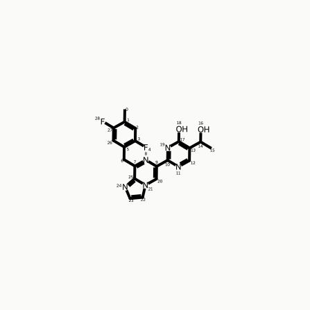 Cc1cc(F)c(Cc2nc(-c3ncc(C(C)O)c(O)n3)cn3ccnc23)cc1F